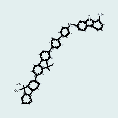 CCCCCCCCC1(CCCCCCCC)c2ccccc2-c2ccc(-c3ccc4c(c3)C(C)(C)c3cc(-c5ccc(-c6ccc(Nc7ccc8c(c7)oc7c(C(C)(C)C)cccc78)cc6)cc5)ccc3-4)cc21